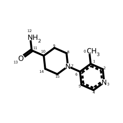 Cc1cnccc1N1CCC(C(N)=O)CC1